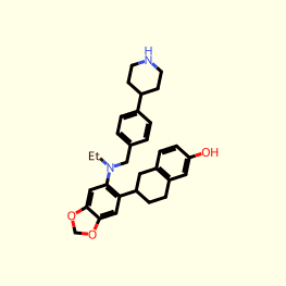 CCN(Cc1ccc(C2CCNCC2)cc1)c1cc2c(cc1C1CCc3cc(O)ccc3C1)OCO2